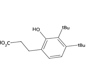 CC(C)(C)c1ccc(CCC(=O)O)c(O)c1C(C)(C)C